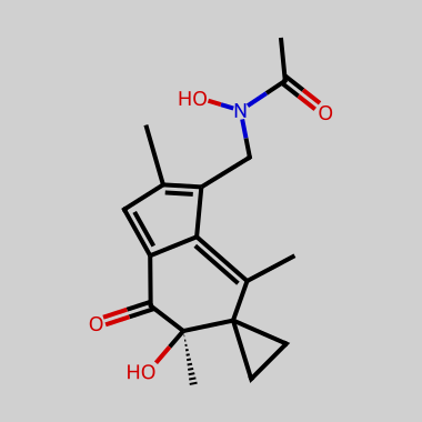 CC(=O)N(O)CC1=C(C)C=C2C(=O)[C@](C)(O)C3(CC3)C(C)=C21